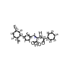 O=C(O)/C(=C\c1ccc(-c2cc(F)ccc2F)s1)NC(=O)c1ccccc1